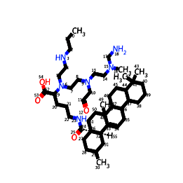 CCCNCCN(CCN(CC=O)CCN(C)CN)C(CCCNC(=O)[C@@]12CCC(C)C[C@@H]1C1=CCC3C4CCCC(C)(C)C4CCC3C1(C)CC2)C(=O)O